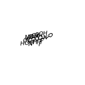 CN(Cc1cc(O)c2c(c1C(F)(F)F)C[C@H]1C[C@H]3[C@H](N(C)C)C(O)=C(C(N)=O)C(=O)[C@@]3(O)C(O)=C1C2=O)CC1CCCCC1